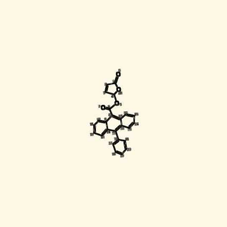 O=C1C=CC(OC(=O)c2c3ccccc3c(-c3ccccc3)c3ccccc23)O1